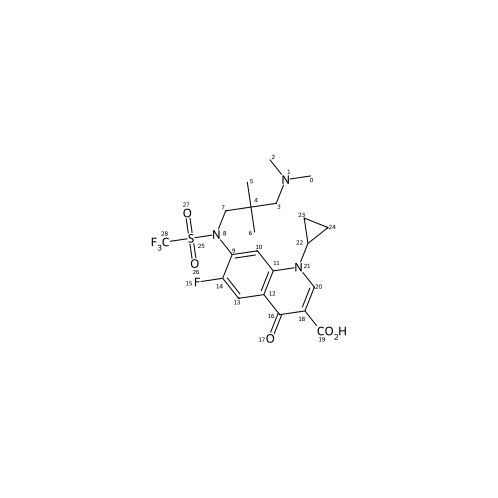 CN(C)CC(C)(C)CN(c1cc2c(cc1F)c(=O)c(C(=O)O)cn2C1CC1)S(=O)(=O)C(F)(F)F